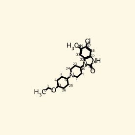 CCOC1CCC(N2CCC(n3c(=O)[nH]c4cc(Cl)c(C)cc43)CC2)CC1